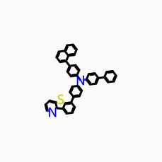 c1ccc(-c2ccc(N(c3ccc(-c4cccc5ccccc45)cc3)c3ccc(-c4cccc5c4sc4cccnc45)cc3)cc2)cc1